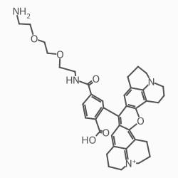 NCCOCCOCCNC(=O)c1ccc(C(=O)O)c(C2=c3cc4c5c(c3Oc3c2cc2c6c3CCCN6CCC2)CCC[N+]=5CCC4)c1